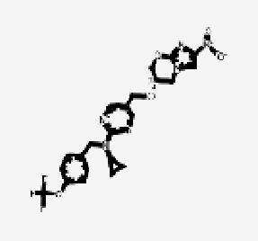 O=[N+]([O-])c1cn2c(n1)OC[C@@H](OCc1cnc(N(Cc3ccc(OC(F)(F)F)cc3)C3CC3)nc1)C2